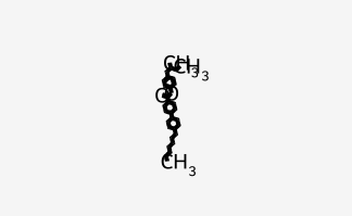 CCCCCCCC1CCC(C2CCC(C(=O)Oc3ccc(CC(C)CC)cc3)CC2)CC1